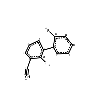 C#Cc1cccc(-c2ccccc2F)c1F